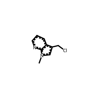 Cn1cc(CCl)c2cccnc21